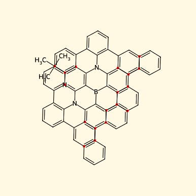 CC(C)(C)c1cc2c3c(n1)N(c1c(-c4ccccc4)cccc1-c1ccccc1)c1cc(-c4ccccc4)cc(-c4ccccc4)c1B3c1c(-c3ccccc3)cc(-c3ccccc3)cc1N2c1c(-c2ccccc2)cccc1-c1ccccc1